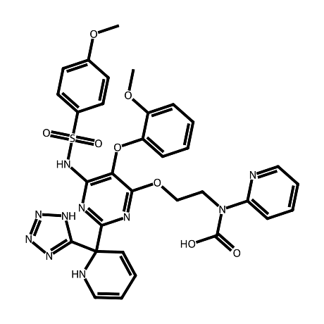 COc1ccc(S(=O)(=O)Nc2nc(C3(c4nnn[nH]4)C=CC=CN3)nc(OCCN(C(=O)O)c3ccccn3)c2Oc2ccccc2OC)cc1